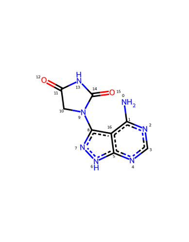 Nc1ncnc2[nH]nc(N3CC(=O)NC3=O)c12